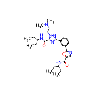 CCC(CC)NC(=O)c1cnc(-c2cccc(-c3nc(C(=O)NC(CC)CC)n(CCN(C)C)n3)c2)o1